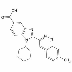 Cc1ccc2cc(-c3nc4cc(C(=O)O)ccc4n3C3CCCCC3)nnc2c1